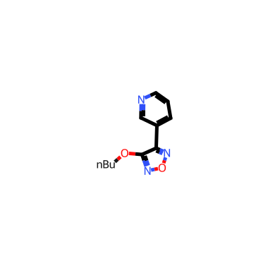 CCCCOc1nonc1-c1cccnc1